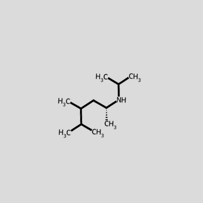 CC(C)N[C@H](C)CC(C)C(C)C